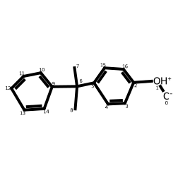 [CH2-][OH+]c1ccc(C(C)(C)c2ccccc2)cc1